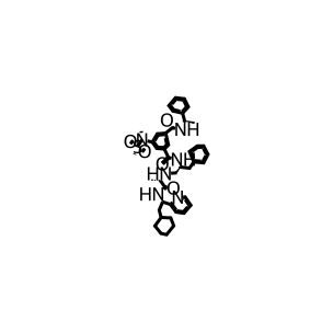 C[C@H](NC[C@H](Cc1ccccc1)NC(=O)c1cc(C(=O)N[C@H](C)c2ccccc2)cc(N(C)S(C)(=O)=O)c1)C(=O)NC(CC1CCCCC1)c1ccccn1